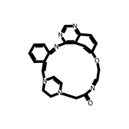 O=C1CN2C=CN(/C=c3/cccc/c3=N/c3ncnc4ccc(cc34)OC/C=N\1)CC2